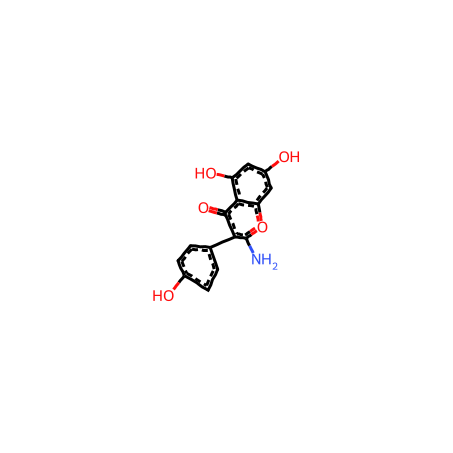 Nc1oc2cc(O)cc(O)c2c(=O)c1-c1ccc(O)cc1